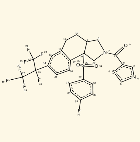 O=C(c1cncs1)N1CC2CCc3cc(C(F)(C(F)(F)F)C(F)(F)F)ccc3C2(S(=O)(=O)c2ccc(F)cc2)C1